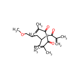 C=C(C)C(=O)[Si](C(=O)C(=C)C)(C(=O)C(=C)C)C(CC)CCCOC